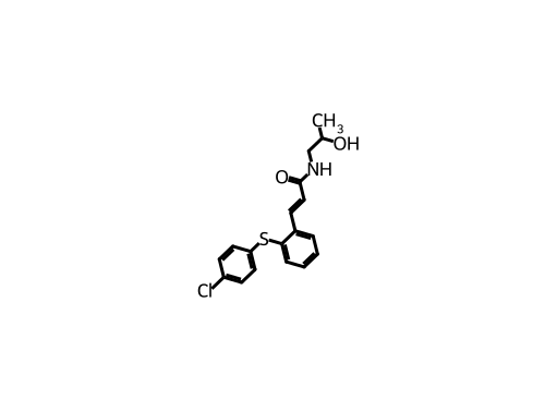 CC(O)CNC(=O)C=Cc1ccccc1Sc1ccc(Cl)cc1